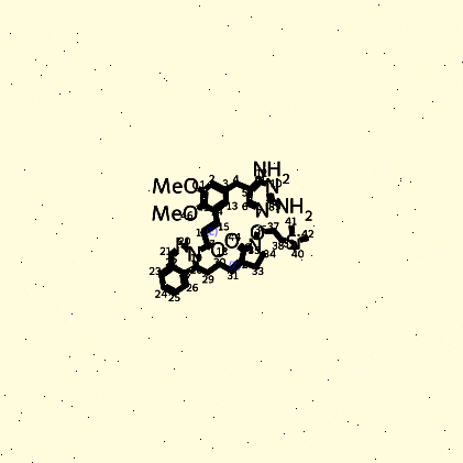 COc1cc(Cc2cnc(N)nc2N)cc(/C=C/C(=O)N2N=Cc3ccccc3C2CC/C=C2/CCN(OCC[Si](C)(C)C)C2=O)c1OC